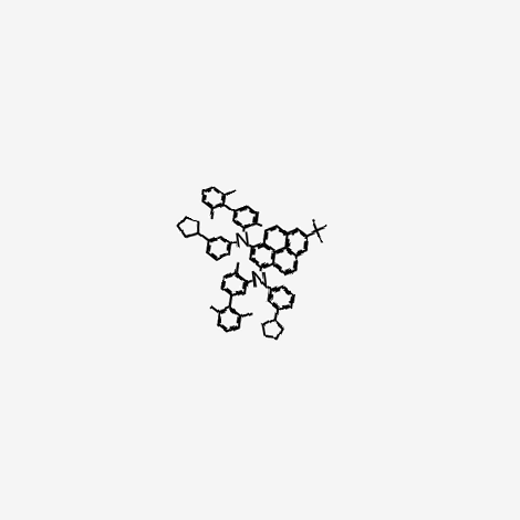 Cc1ccc(-c2c(C)cccc2C)cc1N(c1cccc(C2CCCC2)c1)c1cc(N(c2cccc(C3CCCC3)c2)c2cc(-c3c(C)cccc3C)ccc2C)c2ccc3cc(C(C)(C)C)cc4ccc1c2c43